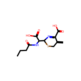 C=C1CSC(C(NC(=O)CCC)C(=O)O)N=C1C(=O)O